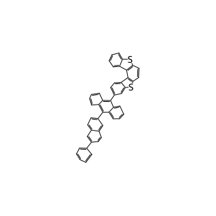 c1ccc(-c2ccc3cc(-c4c5ccccc5c(-c5ccc6c(c5)sc5ccc7sc8ccccc8c7c56)c5ccccc45)ccc3c2)cc1